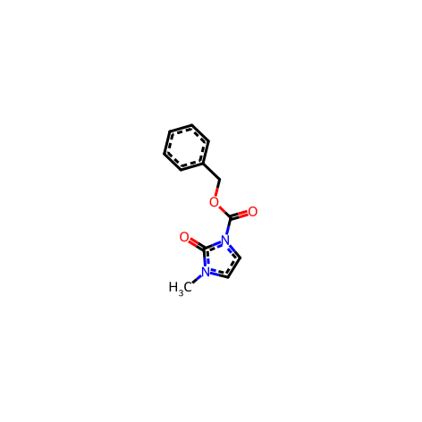 Cn1ccn(C(=O)OCc2ccccc2)c1=O